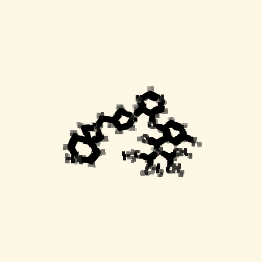 CC(C)N(C(=O)c1cc(F)ccc1Oc1cncnc1N1CCC(CN2CC3(CCNCC3)C2)C1)C(C)C